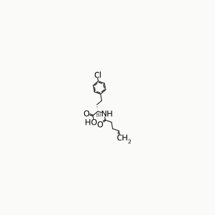 C=CCCC(=O)N[C@@H](CCc1ccc(Cl)cc1)C(=O)O